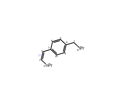 CCC/C=[C]\c1ccc(CC(C)C)cc1